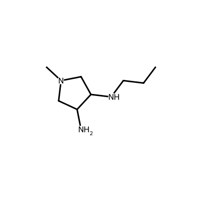 CCCNC1CN(C)CC1N